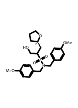 COc1ccc(CN(Cc2ccc(OC)cc2)S(=O)(=O)C(CO)C[C@H]2CCCO2)cc1